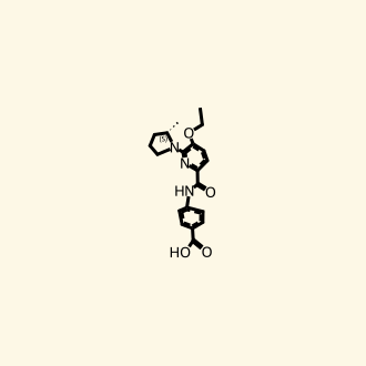 CCOc1ccc(C(=O)Nc2ccc(C(=O)O)cc2)nc1N1CCC[C@@H]1C